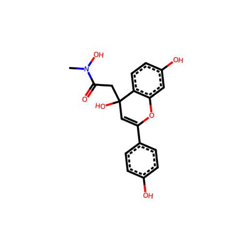 CN(O)C(=O)CC1(O)C=C(c2ccc(O)cc2)Oc2cc(O)ccc21